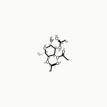 CC(=O)O[C@@H]1[C@@H](OC(C)=O)[C@H](C)O[C@H](Br)[C@@H]1OC(C)=O